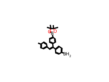 Bc1ccc(/C(=C/c2ccc(C)cc2)c2ccc(B3OC(C)(C)C(C)(C)O3)cc2)cc1